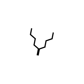 C=C([CH]CCC)CCCC